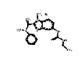 C=C(c1sc2cc(NC(=S)NCC)ccc2[n+]1C)N(C)c1ccccc1.[Br-]